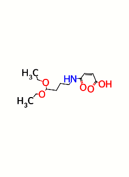 CCOC(CCCNC(=O)/C=C\C(=O)O)OCC